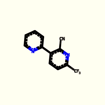 N#Cc1nc(C(F)(F)F)ccc1-c1ccccn1